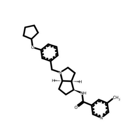 Cc1cncc(C(=O)N[C@H]2CC[C@@H]3[C@H]2CCN3Cc2cccc(OC3CCCC3)c2)c1